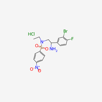 CCN(CC(N)c1ccc(F)c(Br)c1)S(=O)(=O)c1ccc([N+](=O)[O-])cc1.Cl